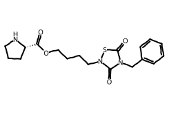 O=C(OCCCCn1sc(=O)n(Cc2ccccc2)c1=O)[C@@H]1CCCN1